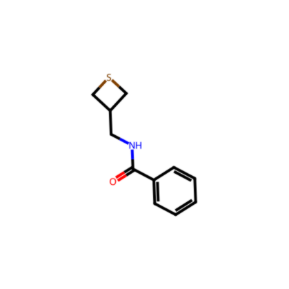 O=C(NCC1CSC1)c1ccccc1